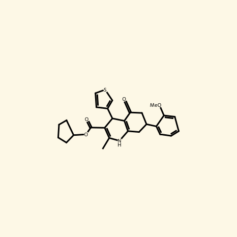 COc1ccccc1C1CC(=O)C2=C(C1)NC(C)=C(C(=O)OC1CCCC1)C2c1ccsc1